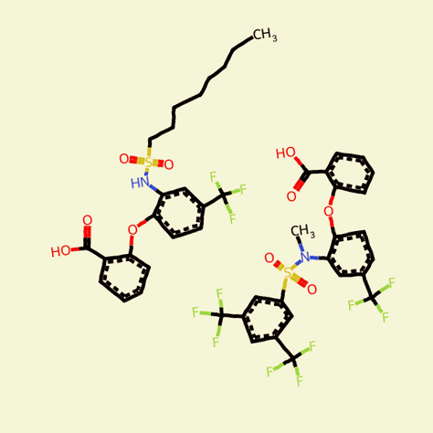 CCCCCCCCS(=O)(=O)Nc1cc(C(F)(F)F)ccc1Oc1ccccc1C(=O)O.CN(c1cc(C(F)(F)F)ccc1Oc1ccccc1C(=O)O)S(=O)(=O)c1cc(C(F)(F)F)cc(C(F)(F)F)c1